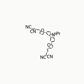 CCCn1c2ccc(-c3ccc(/C=C/C=C(C#N)C#N)o3)cc2c2cc(-c3ccc(/C=C/C=C(C#N)C#N)o3)ccc21